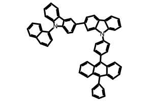 c1ccc(-c2c3ccccc3c(-c3ccc(-n4c5ccccc5c5ccc(-c6ccc7c(c6)c6ccccc6n7-c6cccc7ccccc67)cc54)cc3)c3ccccc23)cc1